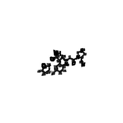 N#C[C@@H]1CSCN1C(=O)Cc1cc(C(N)=O)c2cc(C[C@@H]3CCOC3)ccc2n1